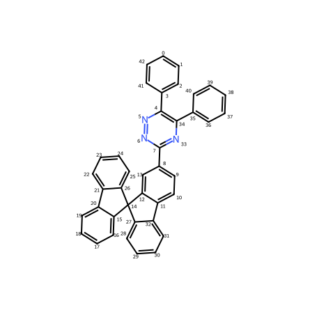 c1ccc(-c2nnc(-c3ccc4c(c3)C3(c5ccccc5-c5ccccc53)c3ccccc3-4)nc2-c2ccccc2)cc1